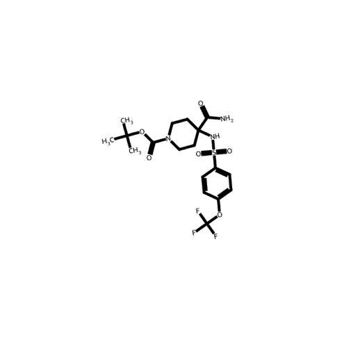 CC(C)(C)OC(=O)N1CCC(NS(=O)(=O)c2ccc(OC(F)(F)F)cc2)(C(N)=O)CC1